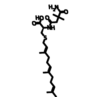 CC(C)=CCC/C(C)=C/CC/C(C)=C/CSC[C@H](NC(=O)CC(C)(C)C(N)=O)C(=O)O